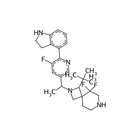 CC(c1cnc(-c2cccc3c2CCN3)c(F)c1)N1CC2(CCNCC2(F)F)C1C(C)(C)C